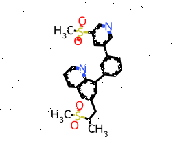 CC(Cc1cc(-c2cccc(-c3cncc(S(C)(=O)=O)c3)c2)c2ncccc2c1)S(C)(=O)=O